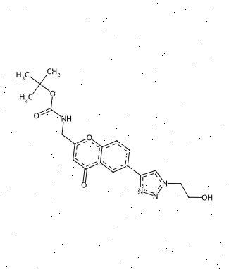 CC(C)(C)OC(=O)NCc1cc(=O)c2cc(-c3cn(CCO)nn3)ccc2o1